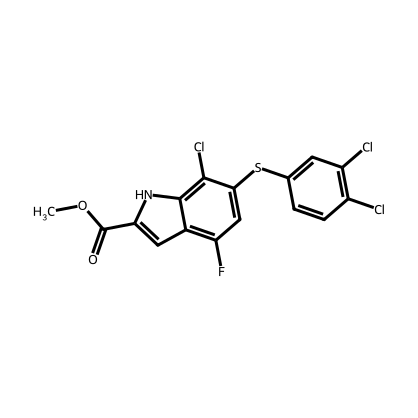 COC(=O)c1cc2c(F)cc(Sc3ccc(Cl)c(Cl)c3)c(Cl)c2[nH]1